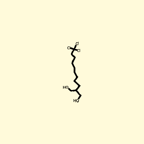 OCC(CO)CCCCCCCCC(Cl)(Cl)Cl